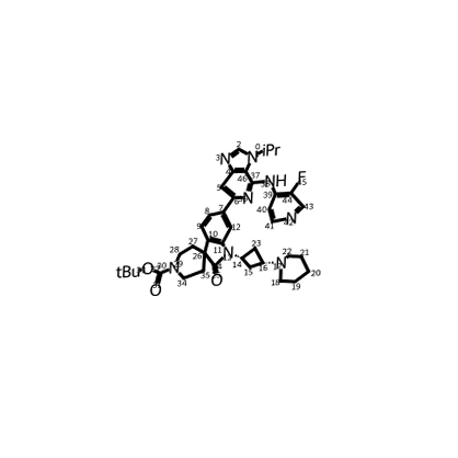 CC(C)n1cnc2cc(-c3ccc4c(c3)N([C@H]3C[C@@H](N5CCCCC5)C3)C(=O)C43CCN(C(=O)OC(C)(C)C)CC3)nc(Nc3ccncc3F)c21